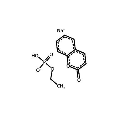 CCOP(=O)([O-])O.O=c1ccc2ccccc2o1.[Na+]